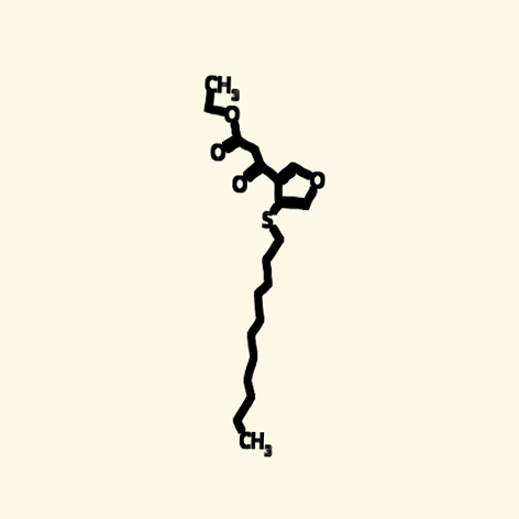 CCCCCCCCCCCSc1cocc1C(=O)CC(=O)OCC